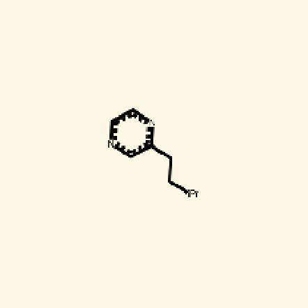 CC(C)CCc1cnccn1